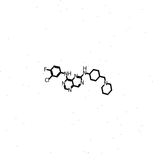 Fc1ccc(Nc2ncnc3cnc(NC4CCC(CN5CCCCC5)CC4)nc23)cc1Cl